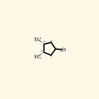 CCC1C[C@@H](CC)[C@@H](CC)C1